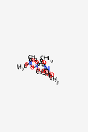 COCCN1CCOCCN(CCOC)c2ccc(-c3c4cc/c(=N\C(CCC(=O)OC)CC(=O)OC)cc-4oc4cc(C)ccc34)cc2OCCOc2cc(C)ccc21